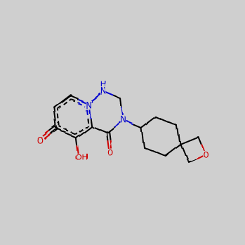 O=C1c2c(O)c(=O)ccn2NCN1C1CCC2(CC1)COC2